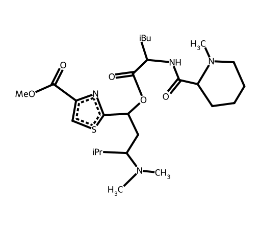 CCC(C)C(NC(=O)C1CCCCN1C)C(=O)OC(CC(C(C)C)N(C)C)c1nc(C(=O)OC)cs1